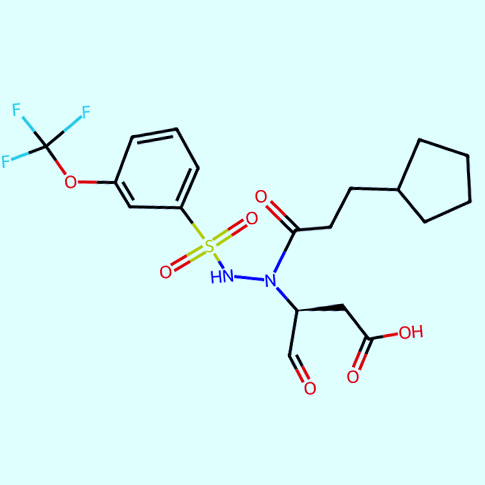 O=C[C@H](CC(=O)O)N(NS(=O)(=O)c1cccc(OC(F)(F)F)c1)C(=O)CCC1CCCC1